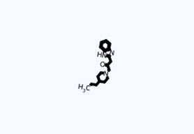 CCCC1CCN(CC(=O)Cc2nc3ccccc3[nH]2)CC1